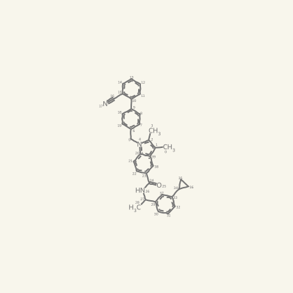 Cc1c(C)n(Cc2ccc(-c3ccccc3C#N)cc2)c2ccc(C(=O)NC(C)c3cccc(C4CC4)c3)cc12